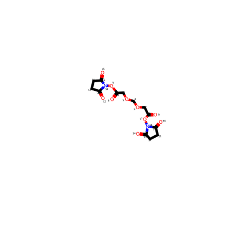 O=C(COCOCC(=O)ON1C(=O)CCC1=O)ON1C(=O)CCC1=O